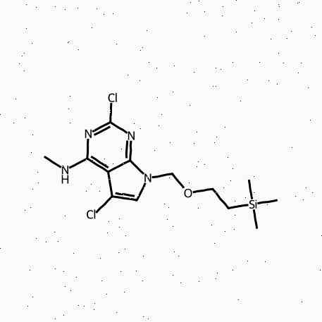 CNc1nc(Cl)nc2c1c(Cl)cn2COCC[Si](C)(C)C